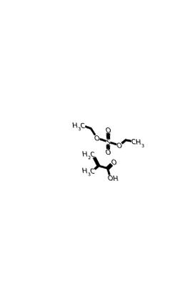 C=C(C)C(=O)O.CCOS(=O)(=O)OCC